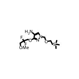 COCC(F)(F)COc1nn(COCC[Si](C)(C)C)cc1N